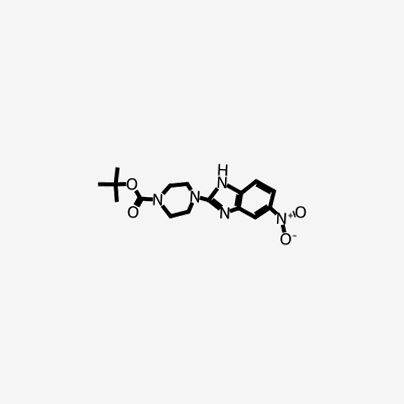 CC(C)(C)OC(=O)N1CCN(c2nc3cc([N+](=O)[O-])ccc3[nH]2)CC1